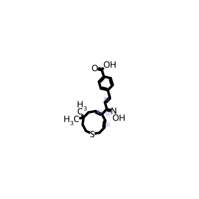 CC1(C)C/C=C(C(/C=C/c2ccc(C(=O)O)cc2)=N\O)\C=C/CSCC1